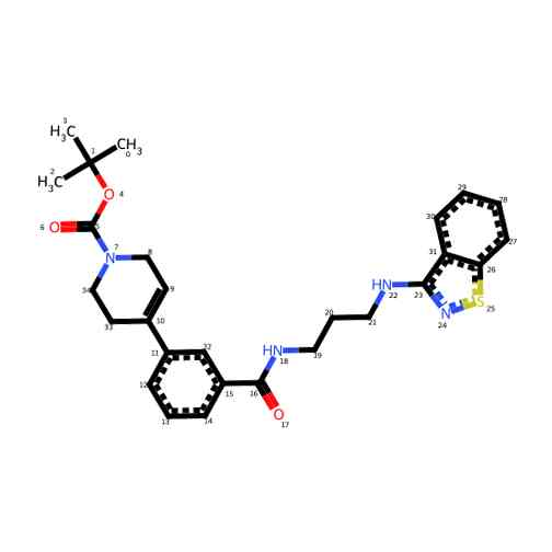 CC(C)(C)OC(=O)N1CC=C(c2cccc(C(=O)NCCCNc3nsc4ccccc34)c2)CC1